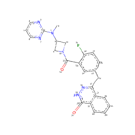 CN(c1ncccn1)C1CN(C(=O)c2cc(Cc3n[nH]c(=O)c4ccccc34)ccc2F)C1